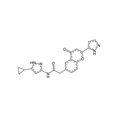 O=C(Cc1ccc2oc(-c3ccn[nH]3)cc(=O)c2c1)Nc1cc(C2CC2)[nH]n1